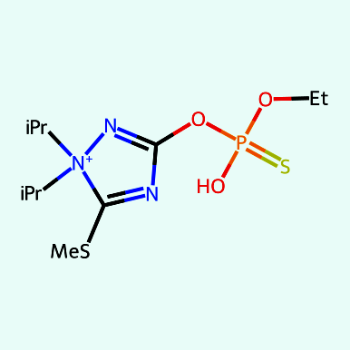 CCOP(O)(=S)OC1=N[N+](C(C)C)(C(C)C)C(SC)=N1